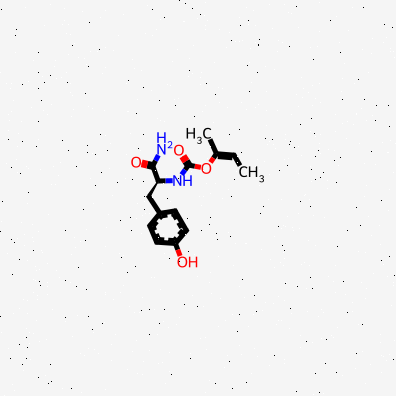 C/C=C(/C)OC(=O)N[C@@H](Cc1ccc(O)cc1)C(N)=O